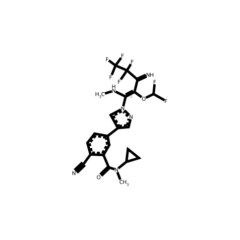 CN/C(=C(/OC(F)F)C(=N)C(F)(F)C(F)(F)F)n1cc(-c2ccc(C#N)c(C(=O)N(C)C3CC3)c2)cn1